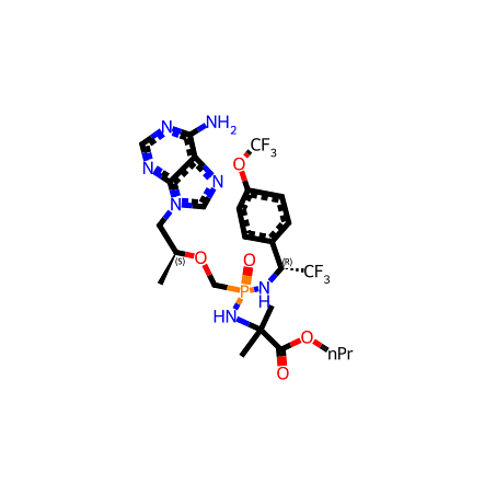 CCCOC(=O)C(C)(C)NP(=O)(CO[C@@H](C)Cn1cnc2c(N)ncnc21)N[C@H](c1ccc(OC(F)(F)F)cc1)C(F)(F)F